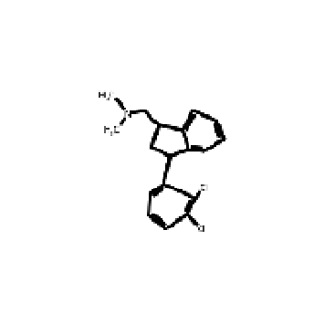 CN(C)CC1CC(c2cccc(Cl)c2Cl)c2ccccc21